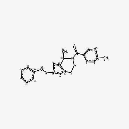 Cc1ccc(C(=O)N2CCn3nc(COc4ccccc4)cc3C2C)cc1